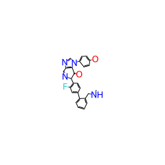 CNCc1ccccc1-c1ccc(C2N=Cc3ncn(-c4ccc(OC)cc4)c3C2=O)c(F)c1